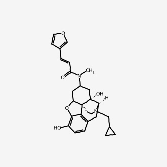 CN(C(=O)/C=C/c1ccoc1)C1CC2Oc3c(O)ccc4c3[C@@]23CCN(CC2CC2)[C@H](C4)[C@]3(O)C1